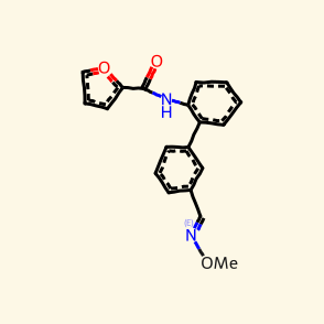 CO/N=C/c1cccc(-c2ccccc2NC(=O)c2ccco2)c1